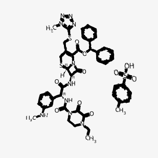 CCN1CCN(C(=O)N[C@@H](C(=O)N[C@@H]2C(=O)N3C(C(=O)OC(c4ccccc4)c4ccccc4)=C(CSc4nnnn4C)CS[C@H]23)c2cccc(NC)c2)C(=O)C1=O.Cc1ccc(S(=O)(=O)O)cc1